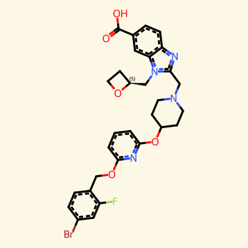 O=C(O)c1ccc2nc(CN3CCC(Oc4cccc(OCc5ccc(Br)cc5F)n4)CC3)n(C[C@@H]3CCO3)c2c1